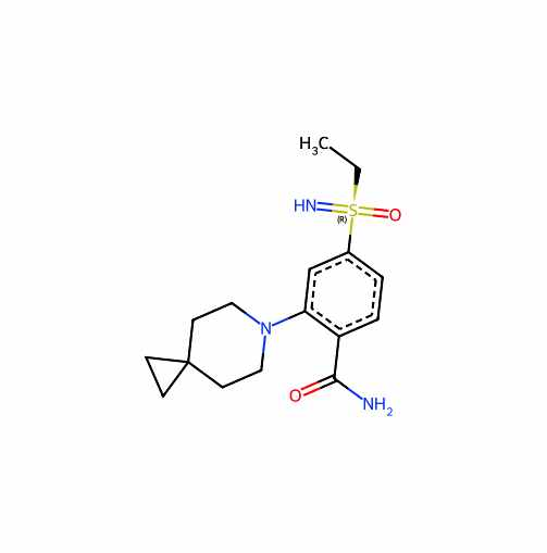 CC[S@@](=N)(=O)c1ccc(C(N)=O)c(N2CCC3(CC2)CC3)c1